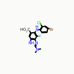 CN(C)C=Nc1c(N)cc(C(=O)O)c(Nc2ccc(Br)cc2Cl)c1F